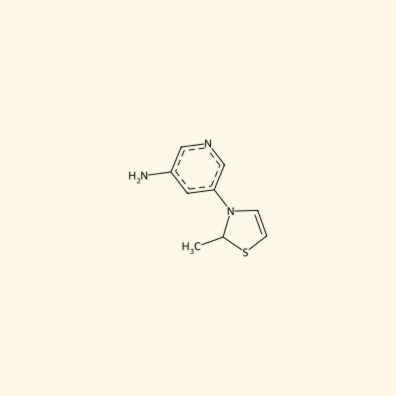 CC1SC=CN1c1cncc(N)c1